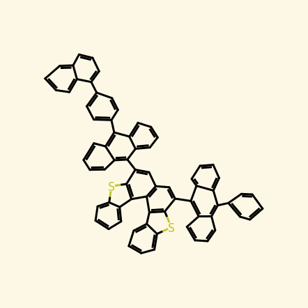 c1ccc(-c2c3ccccc3c(-c3cc4cc(-c5c6ccccc6c(-c6ccc(-c7cccc8ccccc78)cc6)c6ccccc56)c5sc6ccccc6c5c4c4c3sc3ccccc34)c3ccccc23)cc1